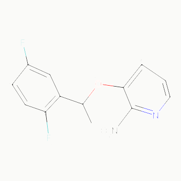 CC(Oc1cccnc1[N+](=O)[O-])c1cc(F)ccc1F